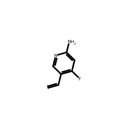 C=Cc1cnc(N)cc1F